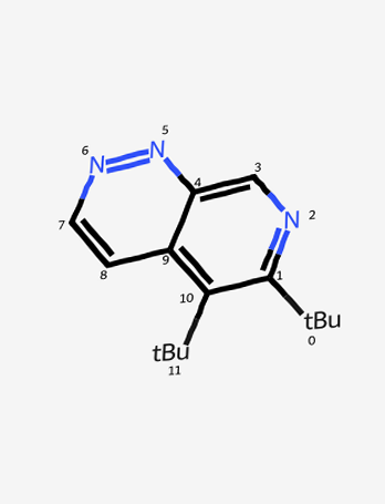 CC(C)(C)c1ncc2nnccc2c1C(C)(C)C